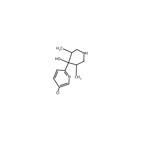 CC1CNCC(C)C1(O)c1ccc(Cl)cn1